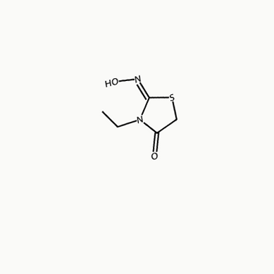 CCN1C(=O)CS/C1=N/O